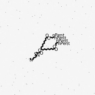 CCCCCC(CCCCC)CCOC(=O)CCCCCCCC(CCCCCCCC(=O)OCCC(CCCCC)CCCCC)OC(=O)c1csc(CCCN(C)C)n1